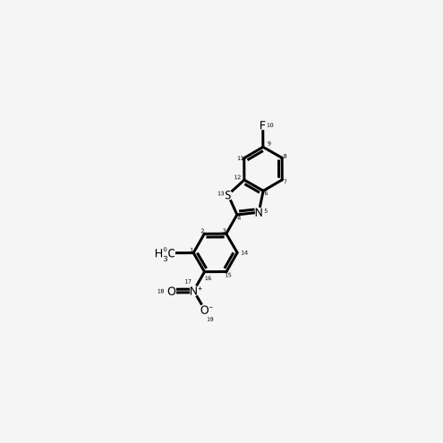 Cc1cc(-c2nc3ccc(F)cc3s2)ccc1[N+](=O)[O-]